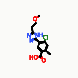 COCCc1nnc(-c2cc(C(=O)O)c(C)cc2Cl)[nH]1